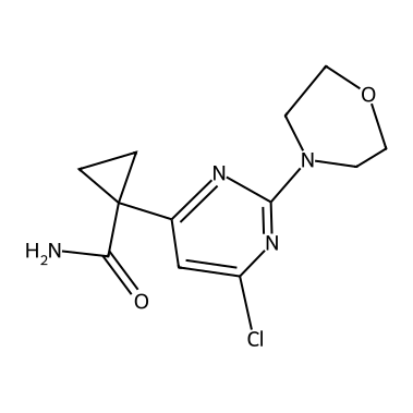 NC(=O)C1(c2cc(Cl)nc(N3CCOCC3)n2)CC1